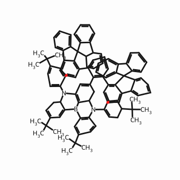 CC(C)(C)C1=CCC2C(=C1)B1C3=C(C=C(c4c(-c5cccc6c5C5(c7ccccc7-c7ccccc75)c5ccccc5-6)cccc4-c4cccc5c4C4(c6ccccc6-5)c5ccccc5C5C=CC=CC54)CC3N(C3=CCC(C(C)(C)C)C=C3)c3ccc(C(C)(C)C)cc31)N2c1ccc(C(C)(C)C)cc1